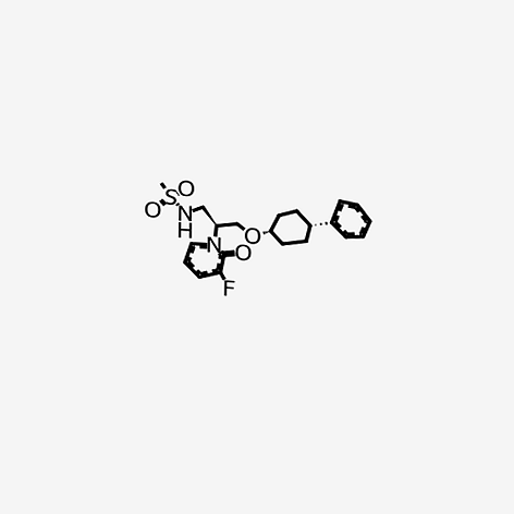 CS(=O)(=O)NC[C@@H](CO[C@H]1CC[C@@H](c2ccccc2)CC1)n1cccc(F)c1=O